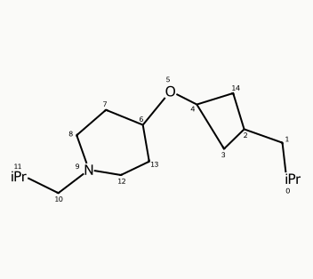 CC(C)CC1CC(OC2CCN(CC(C)C)CC2)C1